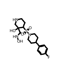 O=C(NO)C1(O)CNCCC1S(=O)(=O)N1CCC(c2ccc(F)cc2)CC1